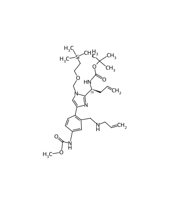 C=CCNCc1cc(NC(=O)OC)ccc1-c1cn(COCC[Si](C)(C)C)c([C@H](CC=C)NC(=O)OC(C)(C)C)n1